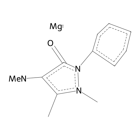 CNc1c(C)n(C)n(-c2ccccc2)c1=O.[Mg]